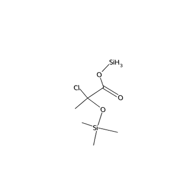 CC(Cl)(O[Si](C)(C)C)C(=O)O[SiH3]